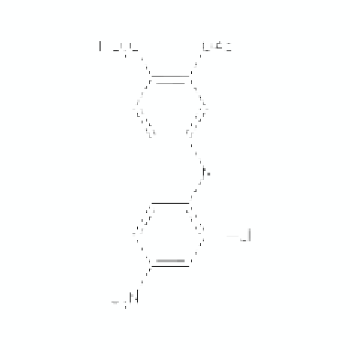 CC(=O)Oc1cc(Nc2ccc([N+](=O)[O-])cc2Cl)ccc1C(=O)O